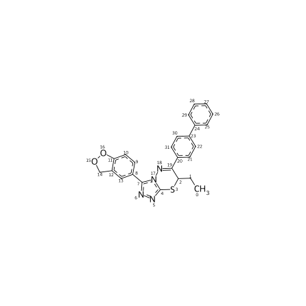 CCC1Sc2nnc(-c3ccc4c(c3)COO4)n2N=C1c1ccc(-c2ccccc2)cc1